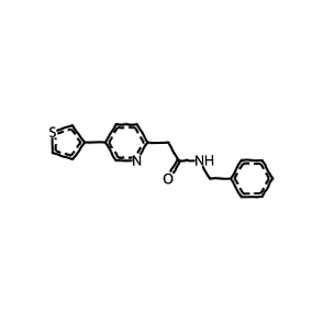 O=C(Cc1ccc(-c2ccsc2)cn1)NCc1ccccc1